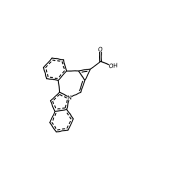 O=C(O)C1=C2C1=Cn1c(cc3ccccc31)-c1ccccc12